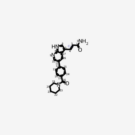 NC(=O)/C=C/c1c[nH]c2ncc(-c3ccc(C(=O)N4CCCCC4)cc3)cc12